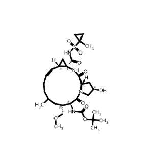 COC[C@@H]1CC(C)CC/C=C\[C@@H]2C[C@@]2(C(=O)NS(=O)(=O)C2(C)CC2)NC(=O)[C@@H]2C[C@@H](O)CN2C(=O)[C@H]1NC(=O)OC(C)(C)C